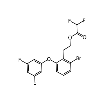 O=C(OCCc1c(Br)cccc1Oc1cc(F)cc(F)c1)C(F)F